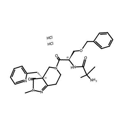 CN1N=C2CCN(C(=O)[C@@H](COCc3ccccc3)NC(=O)C(C)(C)N)C[C@]2(Cc2ccccn2)C1=O.Cl.Cl